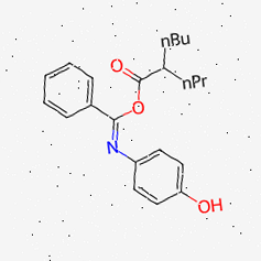 CCCCC(CCC)C(=O)OC(=Nc1ccc(O)cc1)c1ccccc1